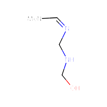 CN/C=N\CNCO